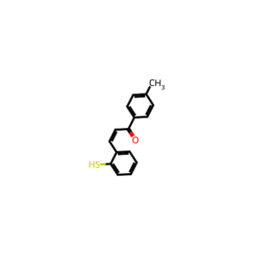 Cc1ccc(C(=O)/C=C\c2ccccc2S)cc1